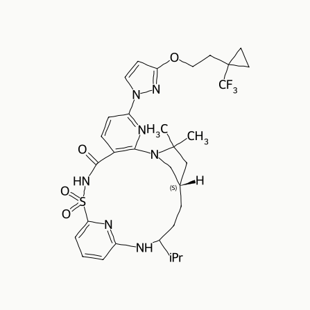 CC(C)C1CC[C@@H]2CN(c3nc(-n4ccc(OCCC5(C(F)(F)F)CC5)n4)ccc3C(=O)NS(=O)(=O)c3cccc(n3)N1)C(C)(C)C2